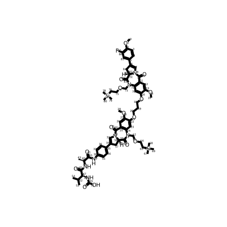 COc1ccc(C2=CN3C(=O)c4cc(OC)c(OCCCOc5cc6c(cc5OC)C(=O)N5C=C(c7ccc(NC(=O)[C@H](C)NC(=O)[C@@H](NC(=O)O)C(C)C)cc7)C[C@H]5C(=O)N6COCC[Si](C)(C)C)cc4N(COCC[Si](C)(C)C)C(=O)[C@@H]3C2)cc1F